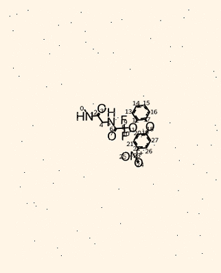 CNC(=O)CNC(=O)C(F)(F)Oc1ccccc1Oc1ccc([N+](=O)[O-])cc1